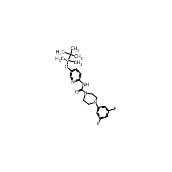 CC(C)(C)[Si](C)(C)Oc1ccc(NC(=O)N2CCN(c3cc(F)cc(F)c3)CC2)nc1